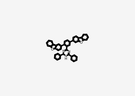 c1ccc(C2=NC(c3cc(-c4ccc5c(c4)oc4ccccc45)ccc3-c3ccc4oc5ccccc5c4c3)=NC(c3ccccc3)N2)cc1